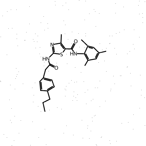 CCCc1ccc(CC(=O)Nc2nc(C)c(C(=O)Nc3c(C)cc(C)cc3C)s2)cc1